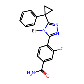 CCn1c(-c2ccc(C(N)=O)cc2Cl)nnc1C1(c2ccccc2)CC1